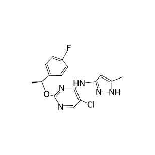 Cc1cc(Nc2nc(O[C@@H](C)c3ccc(F)cc3)ncc2Cl)n[nH]1